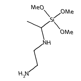 CO[Si](OC)(OC)C(C)NCCN